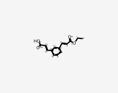 CCOC(=O)/C=C/c1cccc(C=CC(=O)O)c1